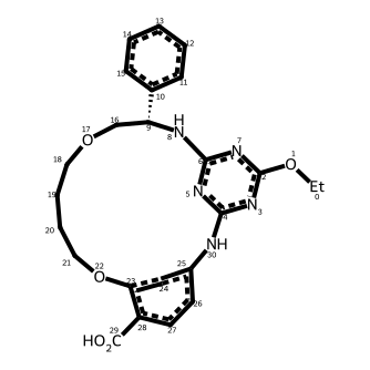 CCOc1nc2nc(n1)N[C@@H](c1ccccc1)COCCCCOc1cc(ccc1C(=O)O)N2